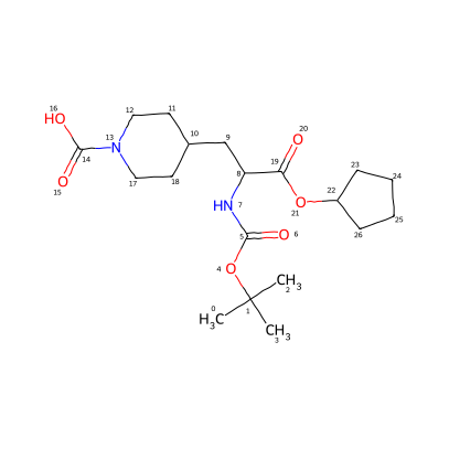 CC(C)(C)OC(=O)NC(CC1CCN(C(=O)O)CC1)C(=O)OC1CCCC1